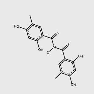 Cc1cc(C(=S)[S+]([O-])C(=S)c2cc(C)c(O)cc2O)c(O)cc1O